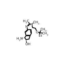 CCC(C)(C)OCCN(C)C(C)=Nc1ccc2c(c1)[C@@H](N)[C@H](O)C2